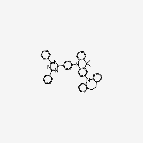 CC1(C)c2ccccc2N(c2ccc(-c3nc(-c4ccccc4)nc(-c4ccccc4)n3)cc2)c2ccc(N3c4ccccc4CCc4ccccc43)cc21